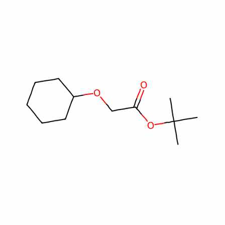 CC(C)(C)OC(=O)COC1CCCCC1